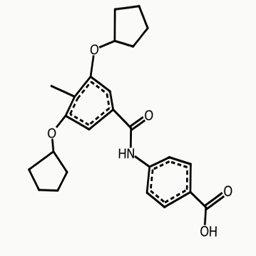 Cc1c(OC2CCCC2)cc(C(=O)Nc2ccc(C(=O)O)cc2)cc1OC1CCCC1